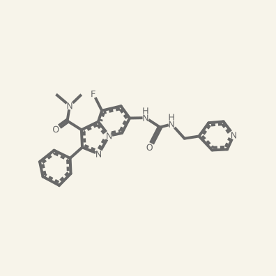 CN(C)C(=O)c1c(-c2ccccc2)nn2cc(NC(=O)NCc3ccncc3)cc(F)c12